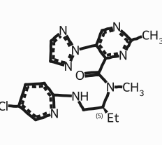 CC[C@@H](CNc1ccc(Cl)cn1)N(C)C(=O)c1nc(C)ncc1-n1nccn1